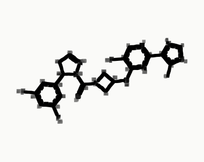 Cc1scnc1-c1ncc(F)c(OC2CN(C(=O)N3N=CCC3c3cc(F)cc(F)c3)C2)n1